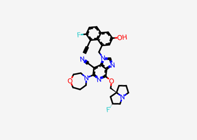 C#Cc1c(F)ccc2cc(O)cc(Cn3cnc4c(OC[C@@]56CCCN5C[C@H](F)C6)nc(N5CCCOCC5)c(C#N)c43)c12